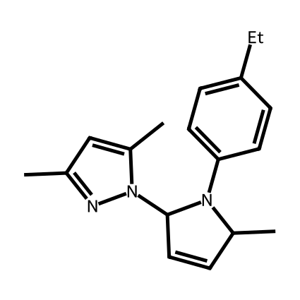 CCc1ccc(N2C(C)C=CC2n2nc(C)cc2C)cc1